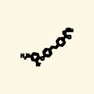 CC(C)(C)OC(=O)N1CCC(CCc2ccc(Oc3ccc(N)cc3Br)cc2)CC1